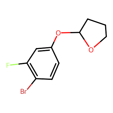 Fc1cc(OC2CCCO2)ccc1Br